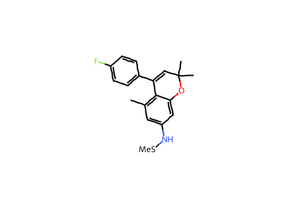 CSNc1cc(C)c2c(c1)OC(C)(C)C=C2c1ccc(F)cc1